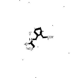 CCOC(=O)C=C(C)NCc1ccccc1CC(=O)[O-].[K+]